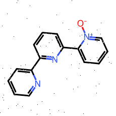 [O-][n+]1ccccc1-c1cccc(-c2ccccn2)n1